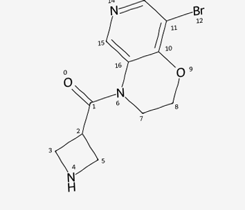 O=C(C1CNC1)N1CCOc2c(Br)cncc21